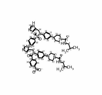 CC(C)CNC(=S)N1CCC(c2ccc(N(Cc3cnc[nH]3)S(=O)(=O)c3ccccc3)cc2)CC1.CC(C)CNC(=S)N1CCN(c2ccc(N(Cc3cnc[nH]3)C(=O)c3ccc([N+](=O)[O-])cc3)cc2)CC1